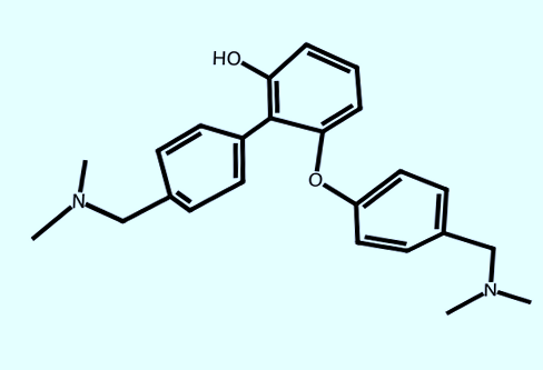 CN(C)Cc1ccc(Oc2cccc(O)c2-c2ccc(CN(C)C)cc2)cc1